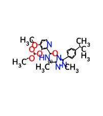 CCOC(=O)Oc1c(OC)ccnc1C(=O)N[C@@H](C)c1nc(-c2ccc(C(C)C)cc2)n(C)n1